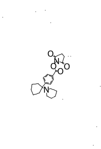 O=C(ON1C(=O)CCC1=O)c1ccc(C2(N3CCCCC3)CCCCC2)cc1